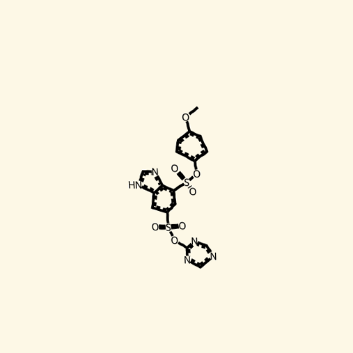 COc1ccc(OS(=O)(=O)c2cc(S(=O)(=O)Oc3ncncn3)cc3[nH]cnc23)cc1